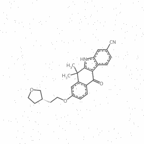 CC1(C)c2cc(OCC[C@@H]3CCOC3)ccc2C(=O)c2c1[nH]c1cc(C#N)ccc21